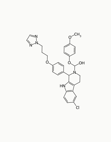 COc1ccc(OC(O)N2CCc3c([nH]c4ccc(Cl)cc34)C2c2ccc(OCCCn3nccn3)cc2)cc1